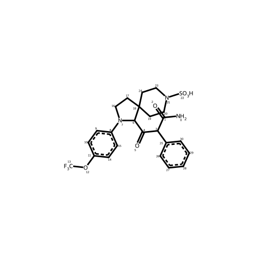 NC(=O)C(C(=O)C1N(c2ccc(OC(F)(F)F)cc2)CCC12CCN(S(=O)(=O)O)CC2)c1ccccc1